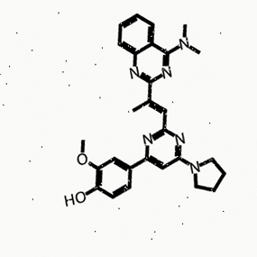 COc1cc(-c2cc(N3CCCC3)nc(/C=C(\C)c3nc(N(C)C)c4ccccc4n3)n2)ccc1O